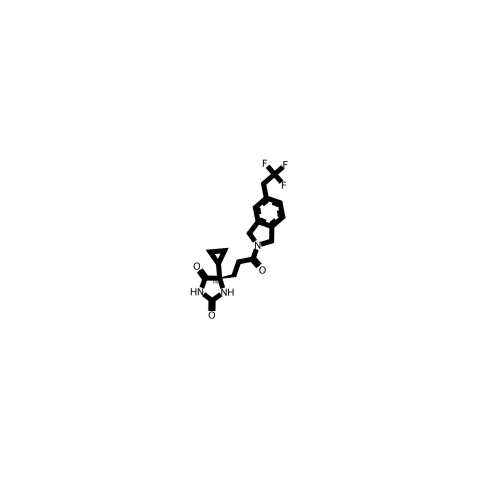 O=C1NC(=O)[C@](CCC(=O)N2Cc3ccc(CC(F)(F)F)cc3C2)(C2CC2)N1